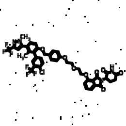 Cc1c(-c2cc(C(F)(F)F)nn2C)ccc(OCc2ccc(OCCOCCOc3cccc4c3C(=O)N(C3CCC(=O)NC3=O)C4=O)cc2)c1-c1ccc(Cl)c(C(F)(F)F)c1